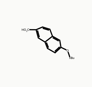 CCCCOc1ccc2cc(C(=O)O)ccc2c1